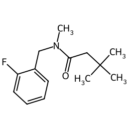 CN(Cc1ccccc1F)C(=O)CC(C)(C)C